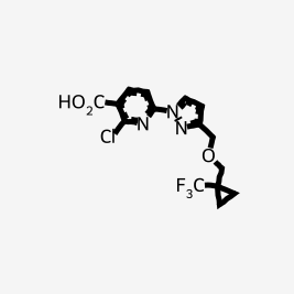 O=C(O)c1ccc(-n2ccc(COCC3(C(F)(F)F)CC3)n2)nc1Cl